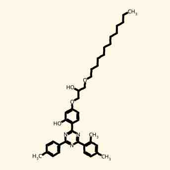 CCCCCCCCCCCCCOCC(O)COc1ccc(-c2nc(-c3ccc(C)cc3)nc(-c3ccc(C)cc3C)n2)c(O)c1